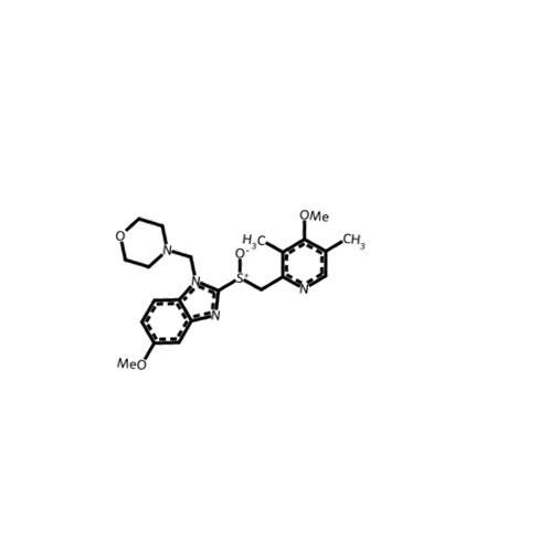 COc1ccc2c(c1)nc([S+]([O-])Cc1ncc(C)c(OC)c1C)n2CN1CCOCC1